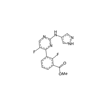 COC(=O)c1cccc(-c2nc(Nc3cn[nH]c3)ncc2F)c1F